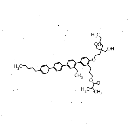 C=C(C)C(=O)OCCCc1cc(-c2ccc(-c3ccc(C4C=CC(CCCCC)=CC4)cc3)cc2CC)ccc1OCCC(CO)(CO)CCCC